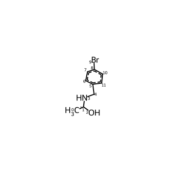 C[C](O)NCc1ccc(Br)cc1